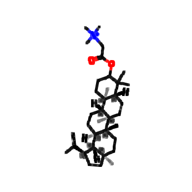 C=C(C)[C@@H]1CC[C@]2(C)CC[C@]3(C)[C@H](CC[C@@H]4[C@@]5(C)CCC(OC(=O)C[N+](C)(C)C)C(C)(C)[C@@H]5CC[C@]43C)[C@@H]12